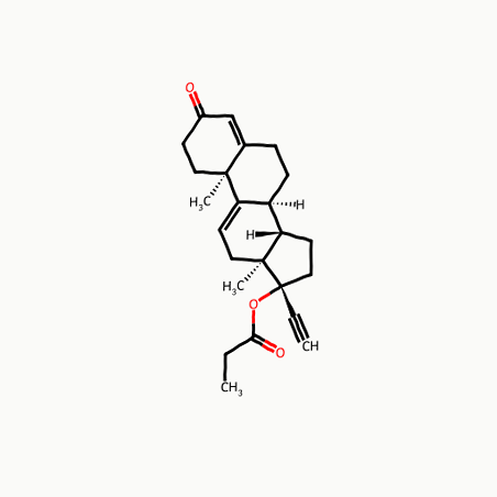 C#C[C@]1(OC(=O)CC)CC[C@H]2[C@@H]3CCC4=CC(=O)CC[C@]4(C)C3=CC[C@@]21C